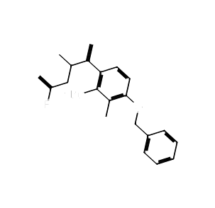 C=C(CC)CC(C)C(=C)c1ccc(OCc2ccccc2)c(C)c1CCCC